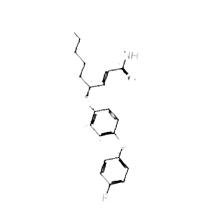 CCCCCC(C=CC(N)=O)Oc1ccc(Oc2ccc(Br)cc2)cc1